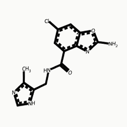 Cc1nc[nH]c1CNC(=O)c1cc(Cl)cc2oc(N)nc12